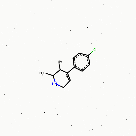 CC(C)C1C(c2ccc(Cl)cc2)=CCNC1C